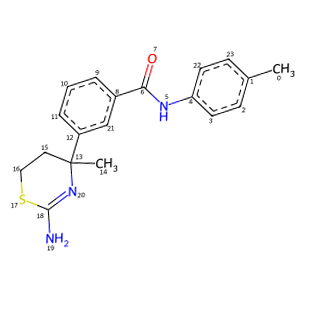 Cc1ccc(NC(=O)c2cccc(C3(C)CCSC(N)=N3)c2)cc1